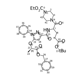 CCOC(=O)N1CCN(C(=O)C(CCC(=O)OC(C)(C)C)NC(=O)c2cc(O[C@H](C)C(=O)OCc3ccccc3)n(-c3ccccc3)n2)CC1